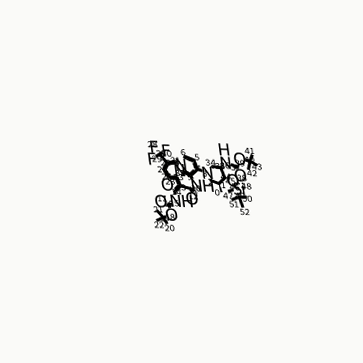 C[C@H]1CN(c2ccncc2NC(=O)c2c(NC(=O)OC(C)(C)C)oc3cc(C(F)(F)F)cnc23)C[C@@H](NC(=O)OC(C)(C)C)[C@@H]1O[Si](C)(C)C(C)(C)C